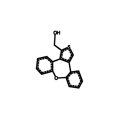 OCc1scc2c1-c1ccccc1Oc1ccccc1-2